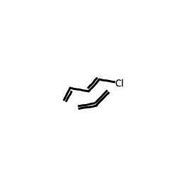 C=C=C.C=CC=CCl